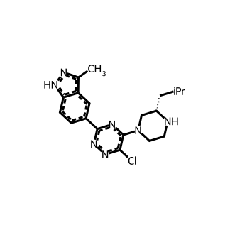 Cc1n[nH]c2ccc(-c3nnc(Cl)c(N4CCN[C@@H](CC(C)C)C4)n3)cc12